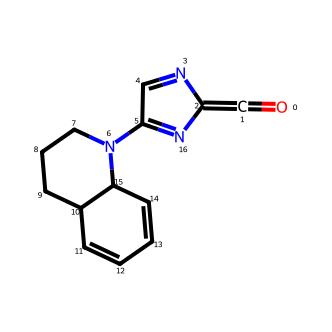 O=C=C1N=CC(N2CCCC3C=CC=CC32)=N1